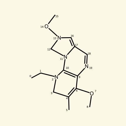 CCN1CC(C)=C(OC)C2=C1N1CN(OC)C=C1C=N2